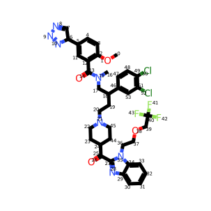 COc1ccc(C2C=NN=N2)cc1C(=O)N(C)CC(CCN1CCC(C(=O)c2nc3ccccc3n2CCOCC(F)(F)F)CC1)c1ccc(Cl)c(Cl)c1